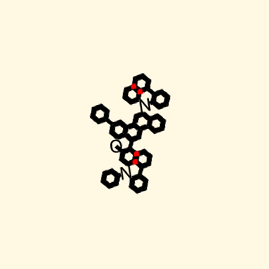 c1ccc(-c2cc3c4c(cc5c6ccccc6c(N(c6ccccc6)c6ccccc6-c6ccccc6)cc5c4c2)-c2ccc(N(c4ccccc4)c4ccccc4-c4ccccc4)cc2O3)cc1